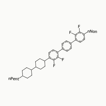 CCCCCCCCCc1ccc(-c2ccc(-c3ccc(C4CCC(C5CCC(CCCCC)CC5)CC4)c(F)c3F)cc2)c(F)c1F